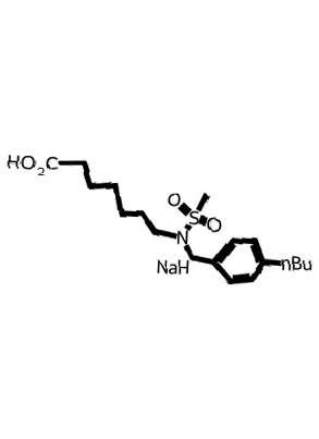 CCCCc1ccc(CN(CCCCCCC(=O)O)S(C)(=O)=O)cc1.[NaH]